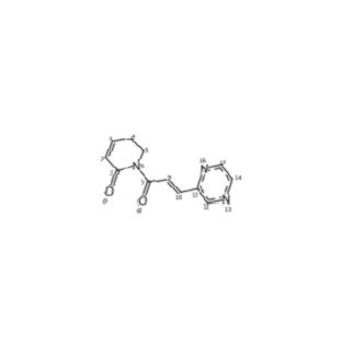 O=C1C=CCCN1C(=O)/C=C/c1cnccn1